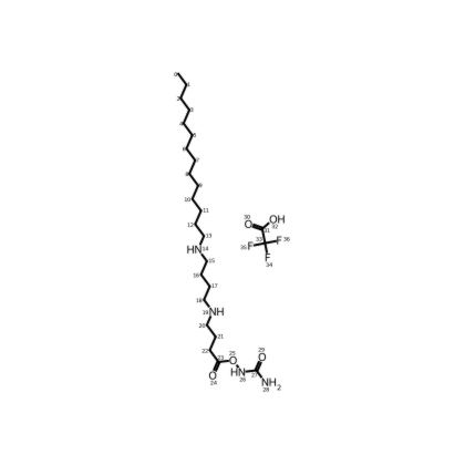 CCCCCCCCCCCCCCNCCCCNCCCC(=O)ONC(N)=O.O=C(O)C(F)(F)F